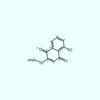 CCCCCCOC1=CC(=O)c2c(Cl)cccc2C1=O